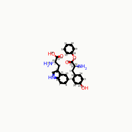 N[C@@H](Cc1c[nH]c2ccccc12)C(=O)O.N[C@@H](Cc1ccc(O)cc1)C(=O)Oc1ccccc1